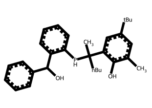 CCCCC(C)(Pc1ccccc1C(O)c1ccccc1)c1cc(C(C)(C)C)cc(C)c1O